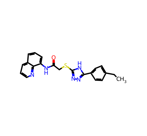 CCc1ccc(-c2nnc(SCC(=O)Nc3cccc4cccnc34)[nH]2)cc1